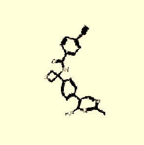 C#Cc1ccc(C(=O)NC2(c3ccc(-c4cnc(C)nc4N)cc3)COC2)cc1